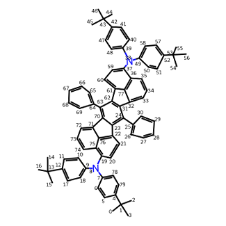 CC(C)(C)c1ccc(N(c2ccc(C(C)(C)C)cc2)c2ccc3c4c(-c5ccccc5)c5c6cccc7c(N(c8ccc(C(C)(C)C)cc8)c8ccc(C(C)(C)C)cc8)ccc(c5c(-c5ccccc5)c4c4cccc2c43)c76)cc1